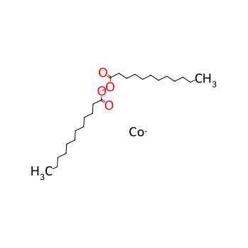 CCCCCCCCCCCC(=O)OOC(=O)CCCCCCCCCCC.[Co]